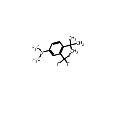 CN(C)c1ccc(C(C)(C)C)c(C(F)(F)F)c1